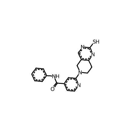 O=C(Nc1ccccc1)c1ccnc(N2CCc3nc(S)ncc3C2)c1